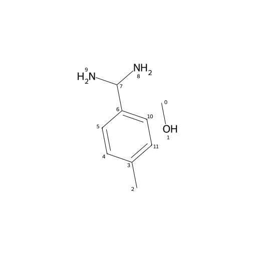 CO.Cc1ccc(C(N)N)cc1